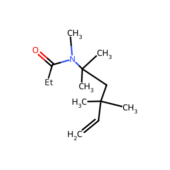 C=CC(C)(C)CC(C)(C)N(C)C(=O)CC